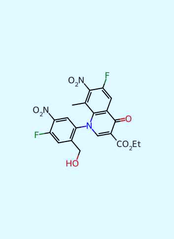 CCOC(=O)c1cn(-c2cc([N+](=O)[O-])c(F)cc2CO)c2c(C)c([N+](=O)[O-])c(F)cc2c1=O